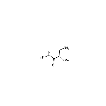 CCCNC(=O)[C@H](CN)NC